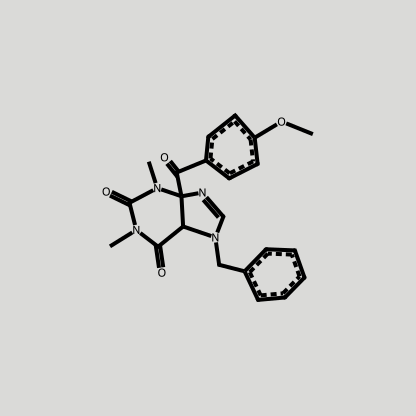 COc1ccc(C(=O)C23N=CN(Cc4ccccc4)C2C(=O)N(C)C(=O)N3C)cc1